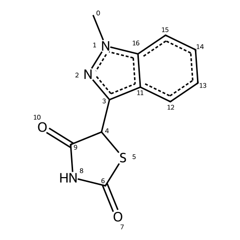 Cn1nc(C2SC(=O)NC2=O)c2ccccc21